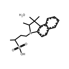 CC1N(CCC(C)S(=O)(=O)O)c2ccc3ccccc3c2C1(C)C.O